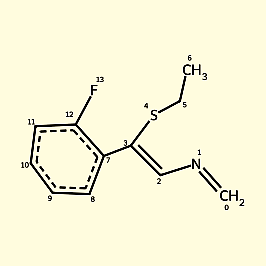 C=N/C=C(\SCC)c1ccccc1F